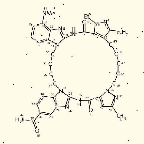 CCn1nc(C)c2c1C(=O)Nc1nc3c(NC)cccc3n1CCCCn1c(nc3cc(C(N)=O)ccc31)NC(=O)c1cc(C)nn1CCCCC2